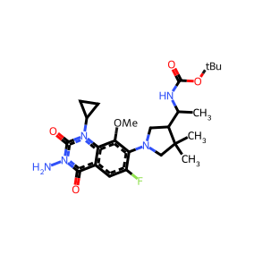 COc1c(N2CC(C(C)NC(=O)OC(C)(C)C)C(C)(C)C2)c(F)cc2c(=O)n(N)c(=O)n(C3CC3)c12